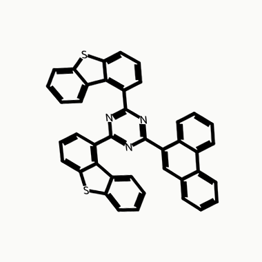 c1ccc2c(c1)cc(-c1nc(-c3cccc4sc5ccccc5c34)nc(-c3cccc4sc5ccccc5c34)n1)c1ccccc12